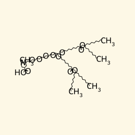 CCCCCCCCC(CCCCCCCC)OC(=O)CCCCCCCOC[C@@H](COCCOCCOCCOCCC1CC(C(=O)O)CCN1C)OCCCCCCCC(=O)OC(CCCCCCCC)CCCCCCCC